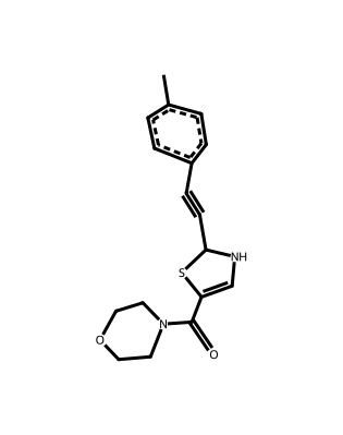 Cc1ccc(C#CC2NC=C(C(=O)N3CCOCC3)S2)cc1